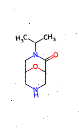 CC(C)N1CC2CNCC(O2)C1=O